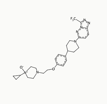 [O-][N+]1(C2CC2)CCN(CCOc2ccc(C3CCN(c4ccc5nnc(C(F)(F)F)n5n4)CC3)cc2)CC1